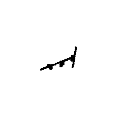 CCCCCCCCC(CCCCCCCC)OC(=O)CCCCCCCC(CCCCCCCCCC(=O)OCCCCCCC)N=C=S